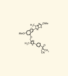 COC1=NN2C(=NC(c3cc4c(OCc5nc(-c6ccc(C(=O)N(C)CC#N)cc6)sc5C)cc(OC)cc4o3)C2C)S1